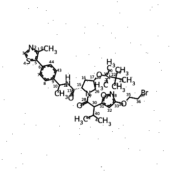 Cc1ncsc1-c1ccc(C(C)NC(=O)[C@@H]2C[C@@H](O[Si](C)(C)C(C)(C)C)CN2C(=O)C(c2cc(OCCBr)no2)C(C)C)cc1